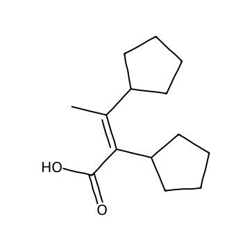 CC(=C(C(=O)O)C1CCCC1)C1CCCC1